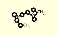 C=C(/C=C(\N=C(/C)c1cccc(-c2ccc(-n3c4c(c5c3CCCC5)CCC(c3cccc(C)c3)=C4)cc2)c1)c1ccccc1)c1ccccc1